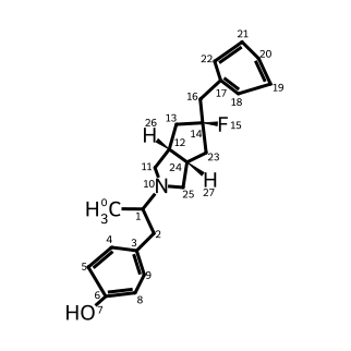 CC(Cc1ccc(O)cc1)N1C[C@@H]2C[C@](F)(Cc3ccccc3)C[C@@H]2C1